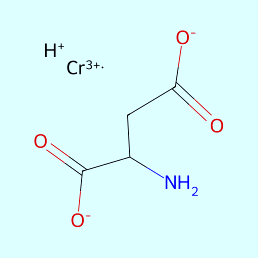 NC(CC(=O)[O-])C(=O)[O-].[Cr+3].[H+]